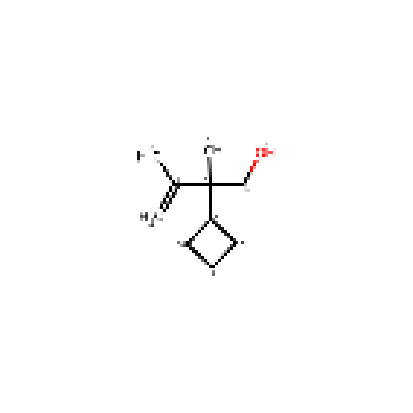 C=C(C)C(C)(CO)C1CCC1